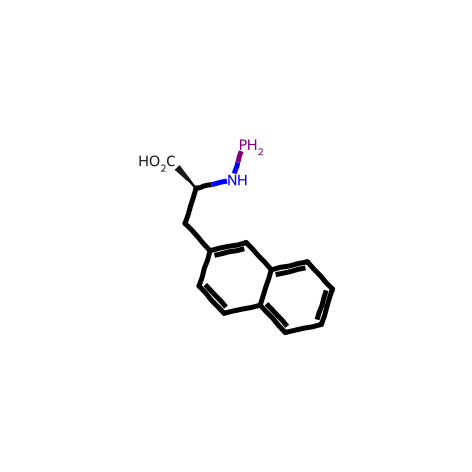 O=C(O)[C@H](Cc1ccc2ccccc2c1)NP